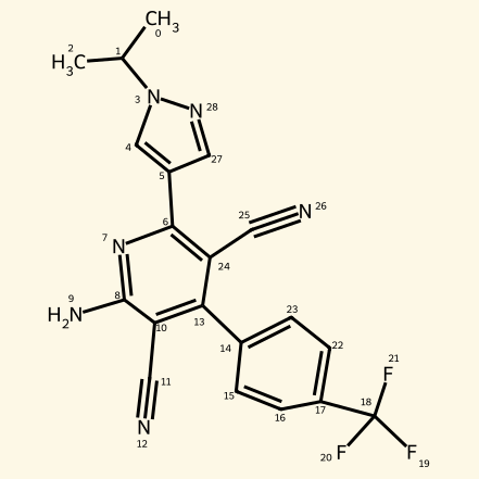 CC(C)n1cc(-c2nc(N)c(C#N)c(-c3ccc(C(F)(F)F)cc3)c2C#N)cn1